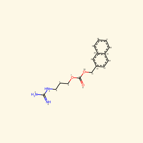 N=C(N)NCCCOC(=O)OCc1ccc2ccccc2c1